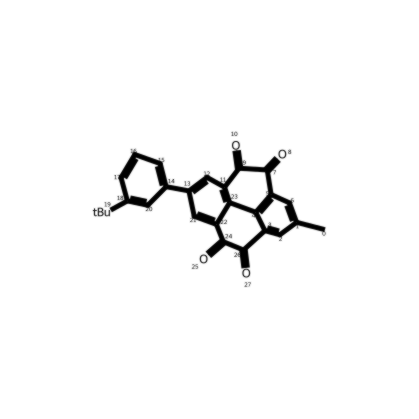 Cc1cc2c3c(c1)c(=O)c(=O)c1cc(-c4cccc(C(C)(C)C)c4)cc(c1-3)c(=O)c2=O